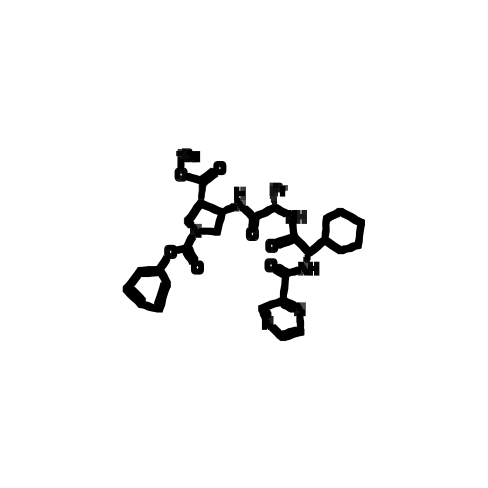 CC(C)[C@H](NC(=O)[C@@H](NC(=O)c1cnccn1)C1CCCCC1)C(=O)N[C@H]1CN(C(=O)Oc2ccccc2)C[C@H]1C(=O)OC(C)(C)C